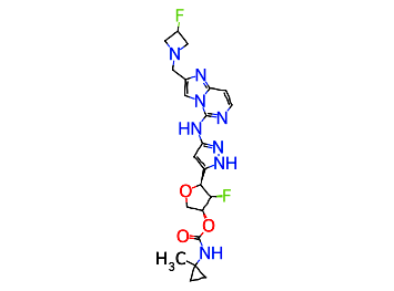 CC1(NC(=O)O[C@H]2CO[C@@H](c3cc(Nc4nccc5nc(CN6CC(F)C6)cn45)n[nH]3)[C@H]2F)CC1